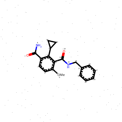 COc1ccc(C(N)=O)c(C2CC2)c1C(=O)NCc1ccccc1